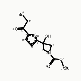 CC(C)(C)OC(=O)N1CC(O)(c2ccc(C(=O)CBr)s2)C1